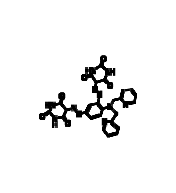 O=C1NC(=O)C(/N=N/c2ccc(N(Cc3ccccn3)Cc3ccccn3)c(/N=N/C3C(=O)NC(=O)NC3=O)c2)C(=O)N1